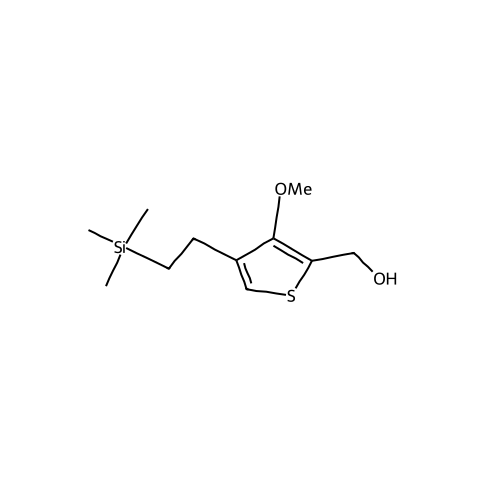 COc1c(CC[Si](C)(C)C)csc1CO